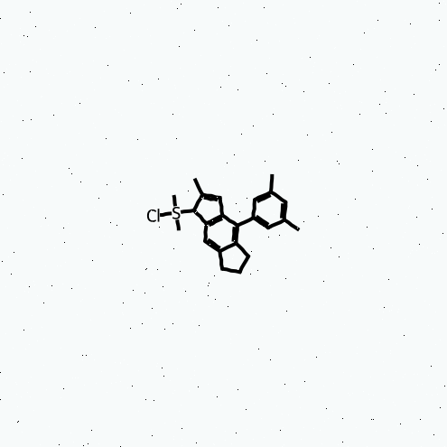 CC1=Cc2c(cc3c(c2-c2cc(C)cc(C)c2)CCC3)C1S(C)(C)Cl